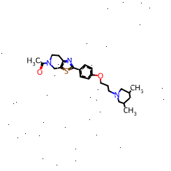 CC(=O)N1CCc2nc(-c3ccc(OCCCN4CC(C)CC(C)C4)cc3)sc2C1